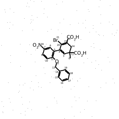 CC1(C(=O)O)C=C(c2cc([N+](=O)[O-])ccc2OCc2ccccc2)C(Br)=C(C(=O)O)C1